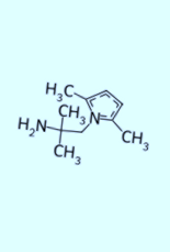 Cc1ccc(C)n1CC(C)(C)N